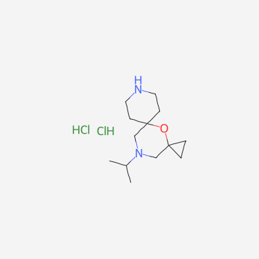 CC(C)N1CC2(CCNCC2)OC2(CC2)C1.Cl.Cl